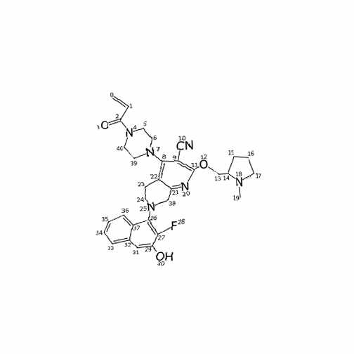 C=CC(=O)N1CCN(c2c(C#N)c(OCC3CCCN3C)nc3c2CCN(c2c(F)c(O)cc4ccccc24)C3)CC1